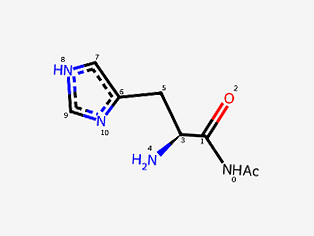 CC(=O)NC(=O)[C@@H](N)Cc1c[nH]cn1